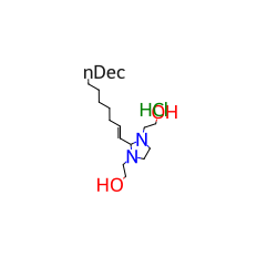 CCCCCCCCCCCCCCCC=CC1N(CCO)CCN1CCO.Cl